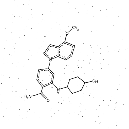 COc1cccc2c1ccn2-c1ccc(C(N)=O)c(NC2CCC(O)CC2)c1